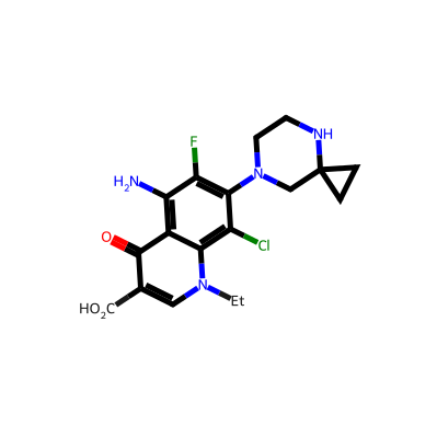 CCn1cc(C(=O)O)c(=O)c2c(N)c(F)c(N3CCNC4(CC4)C3)c(Cl)c21